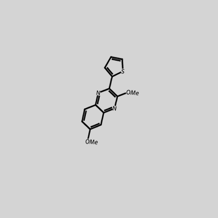 COc1ccc2nc(-c3cccs3)c(OC)nc2c1